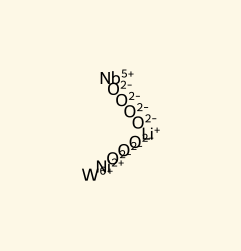 [Li+].[Nb+5].[Ni+2].[O-2].[O-2].[O-2].[O-2].[O-2].[O-2].[O-2].[W+6]